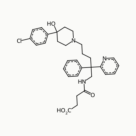 O=C(O)CCC(=O)NCC(CCCN1CCC(O)(c2ccc(Cl)cc2)CC1)(c1ccccc1)c1ccccn1